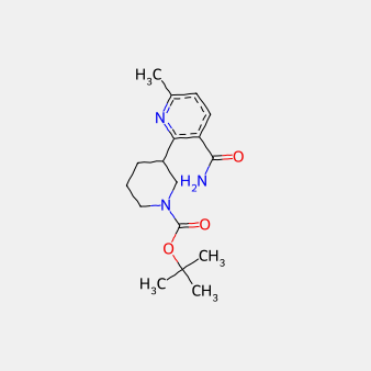 Cc1ccc(C(N)=O)c(C2CCCN(C(=O)OC(C)(C)C)C2)n1